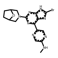 CNc1cnc(-c2nc(N3CC4CCC(C3)O4)nc3[nH]c(Br)nc23)cn1